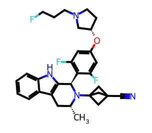 C[C@@H]1Cc2c([nH]c3ccccc23)[C@@H](c2c(F)cc(O[C@H]3CCN(CCCF)C3)cc2F)N1C12CC(C#N)(C1)C2